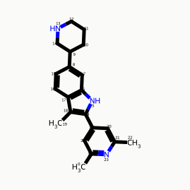 Cc1cc(-c2[nH]c3cc(C4CCCNC4)ccc3c2C)cc(C)n1